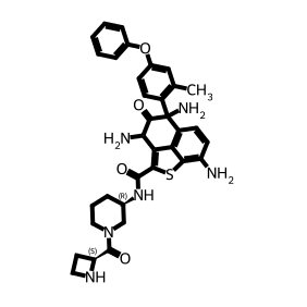 Cc1cc(Oc2ccccc2)ccc1C1(N)C(=O)C(N)c2c(C(=O)N[C@@H]3CCCN(C(=O)[C@@H]4CCN4)C3)sc3c(N)ccc1c23